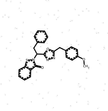 COc1ccc(Cc2nnc(C(Cc3ccccc3)n3sc4ccccc4c3=O)o2)cc1